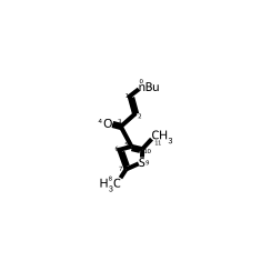 CCCCC=CC(=O)c1cc(C)sc1C